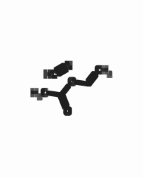 C#N.C=COC(C)=O